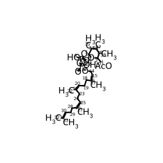 CC(=O)OCC1O[C@H](OP(=O)(O)OP(=O)(O)OC/C=C(/C)CC/C=C(/C)CC/C=C(/C)CCC=C(C)C)C(C)[C@@H](C)[C@@H]1C